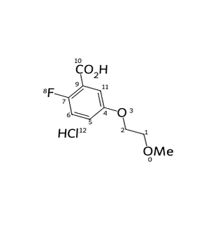 COCCOc1ccc(F)c(C(=O)O)c1.Cl